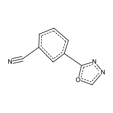 N#Cc1cccc(-c2nnco2)c1